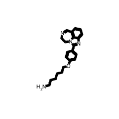 NCCCCCCOc1ccc(-c2nc3cccc4c3n2CCN=C4)cc1